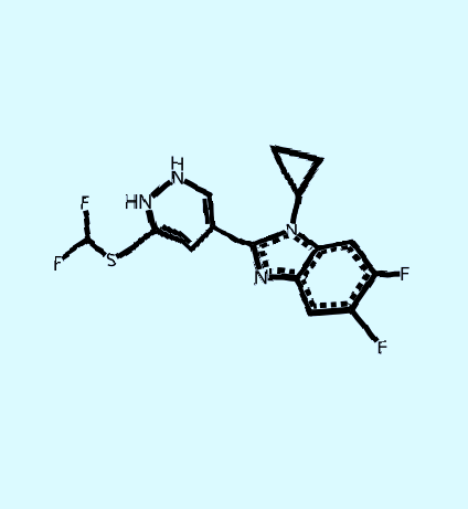 Fc1cc2nc(C3=CNNC(SC(F)F)=C3)n(C3CC3)c2cc1F